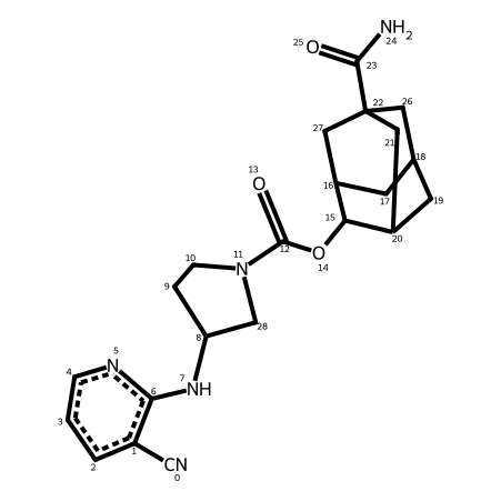 N#Cc1cccnc1NC1CCN(C(=O)OC2C3CC4CC2CC(C(N)=O)(C4)C3)C1